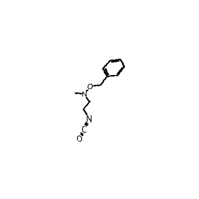 CN(CCN=C=O)OCc1ccccc1